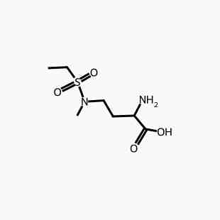 CCS(=O)(=O)N(C)CCC(N)C(=O)O